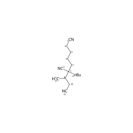 [CH2]CCCC(C#N)(CCCCC#N)C(C)CC#N